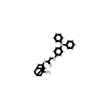 CC12CC3CC(C1)CC(OC(=O)COc1ccc([S+](c4ccccc4)c4ccccc4)cc1)(C3)C2